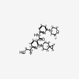 C[C@@H]1CN(c2cccc(NC(=O)c3ccc(C(F)CO)nc3N3CCC4(CC3)CC4)n2)CCO1